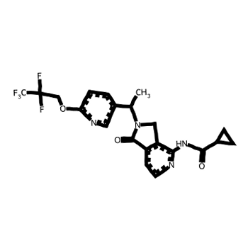 CC(c1ccc(OCC(F)(F)C(F)(F)F)nc1)N1Cc2c(ccnc2NC(=O)C2CC2)C1=O